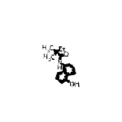 CCC(C)(C)C(=O)Nc1cccc2c(O)cccc12